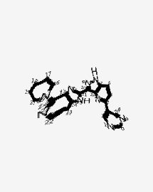 c1ncc(-c2ccc3[nH]nc(-c4nc5c(N6CCCCC6)nccc5[nH]4)c3n2)cn1